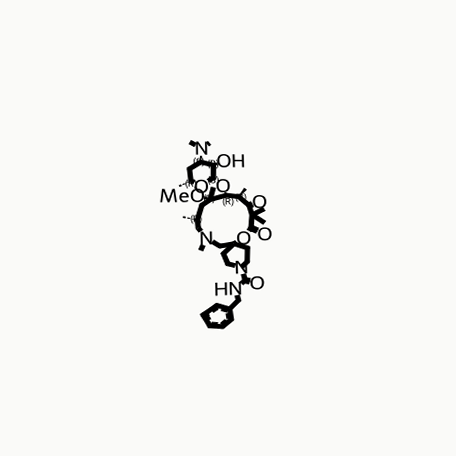 CO[C@]1(C)C[C@@H](C)CN(C)CC2(CCN(C(=O)NCc3ccccc3)CC2)OC(=O)C(C)(C)C(=O)[C@H](C)[C@H]1O[C@@H]1O[C@H](C)C[C@H](N(C)C)[C@H]1O